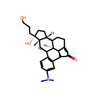 CN(C)c1ccc2c(c1)C[C@]13CCC(=O)C=C1CC[C@@H]1[C@@H]3[C@@H]2C[C@@]2(C)[C@@H]1CC[C@]2(O)CCCO